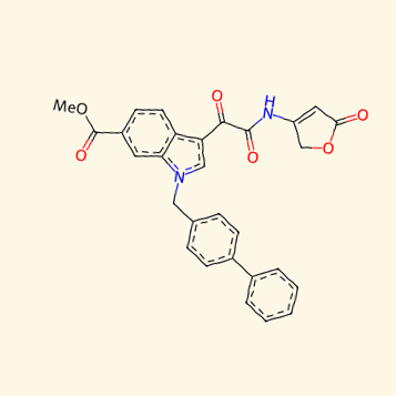 COC(=O)c1ccc2c(C(=O)C(=O)NC3=CC(=O)OC3)cn(Cc3ccc(-c4ccccc4)cc3)c2c1